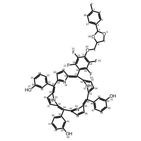 Cc1ccc(C2OCC(COc3c(F)c(F)c(-c4c5nc(c(-c6cccc(O)c6)c6ccc([nH]6)c(-c6cccc(O)c6)c6nc(c(-c7cccc(O)c7)c7ccc4[nH]7)C=C6)C=C5)c(F)c3F)O2)cc1